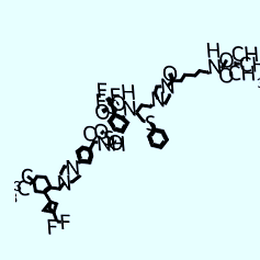 CC1(C)CCC(CN2CCN(c3ccc(C(=O)NS(=O)(=O)c4ccc(NC(CCN5CCN(C(=O)CCCCCNC(=O)OC(C)(C)C)CC5)CSc5ccccc5)c(S(=O)(=O)C(F)(F)F)c4)cc3)CC2)=C(C23CC(C(F)F)(C2)C3)C1